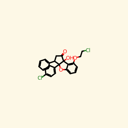 O=C1CC(c2ccccc2)C2(c3ccc(Cl)cc3)Oc3cccc(OCCCl)c3C12O